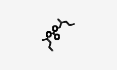 CCCC(C)COC(=O)OC(C)CCC